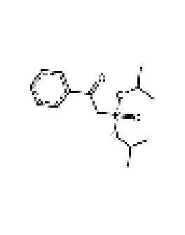 CC(C)OP(=O)(CC(=O)c1ccccc1)OC(C)C